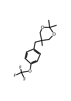 CC1(Cc2ccc(OC(F)(F)F)cc2)COC(C)(C)OC1